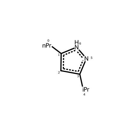 CCCc1cc(C(C)C)n[nH]1